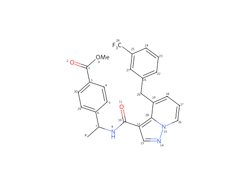 COC(=O)c1ccc(C(C)NC(=O)c2cnn3cccc(Cc4cccc(C(F)(F)F)c4)c23)cc1